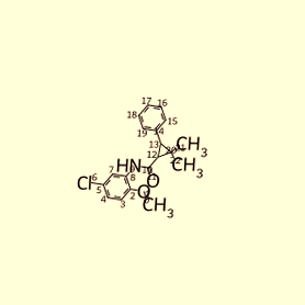 COc1ccc(Cl)cc1NC(=O)C1C(c2ccccc2)C1(C)C